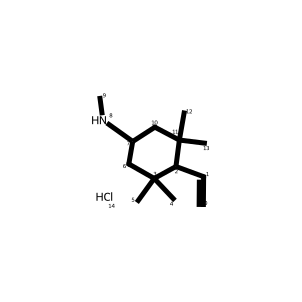 C=CC1C(C)(C)CC(NC)CC1(C)C.Cl